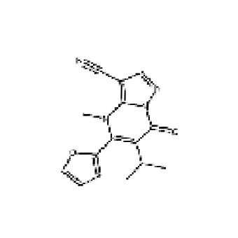 CC(C)c1c(-c2ccco2)n(C)c2c(C#N)cnn2c1=O